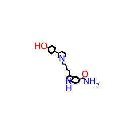 NC(=O)c1ccc2[nH]cc(CCCCN3CC=CC(c4ccc(O)cc4)C3)c2c1